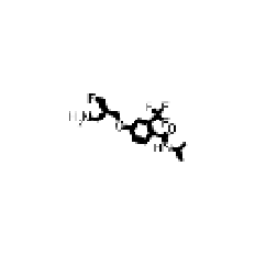 CC(C)NC(=O)c1ccc(OC/C(=C/F)CN)cc1C(F)(F)F